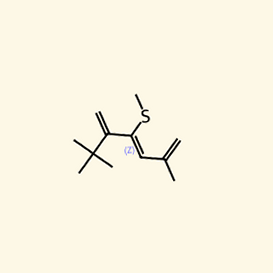 C=C(C)/C=C(\SC)C(=C)C(C)(C)C